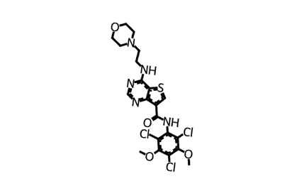 COc1c(Cl)c(NC(=O)c2csc3c(NCCN4CCOCC4)ncnc23)c(Cl)c(OC)c1Cl